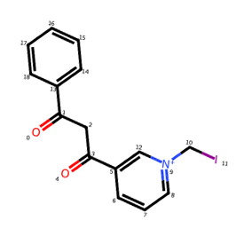 O=C(CC(=O)c1ccc[n+](CI)c1)c1ccccc1